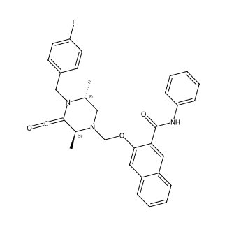 C[C@@H]1CN(COc2cc3ccccc3cc2C(=O)Nc2ccccc2)[C@@H](C)C(=C=O)N1Cc1ccc(F)cc1